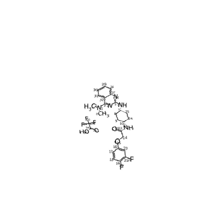 CN(C)c1nc(N[C@H]2CC[C@@H](NC(=O)COc3ccc(F)c(F)c3)CC2)nc2ccccc12.O=C(O)C(F)(F)F